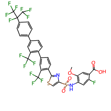 COc1cc(C(=O)O)c(F)cc1NS(=O)(=O)c1csc(-c2ccc(-c3ccc(-c4ccc(C(F)(C(F)(F)F)C(F)(F)F)cc4)cc3C(F)(F)F)cc2C(F)(F)F)n1